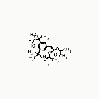 CC(C)OP(=O)(Cc1cc(C(C)(C)C)c(O)c(C(C)(C)C)c1)OC(C)C